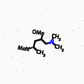 CN[C@H](C)CC(CN(C)C)OC